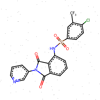 O=C1c2cccc(NS(=O)(=O)c3ccc(Cl)c(C(F)(F)F)c3)c2C(=O)N1c1cccnc1